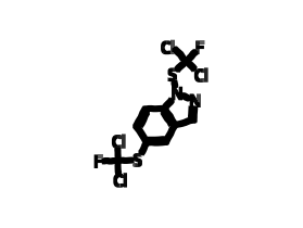 FC(Cl)(Cl)Sc1ccc2c(cnn2SC(F)(Cl)Cl)c1